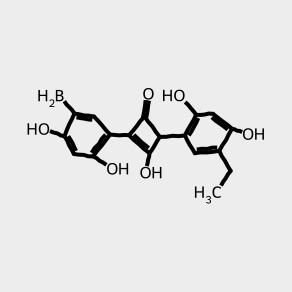 Bc1cc(C2=C(O)C(c3cc(CC)c(O)cc3O)C2=O)c(O)cc1O